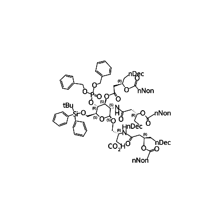 CCCCCCCCCCC[C@H](CC(=O)N[C@@H](CO[C@H]1O[C@@H](CO[Si](c2ccccc2)(c2ccccc2)C(C)(C)C)[C@H](OP(=O)(OCc2ccccc2)OCc2ccccc2)[C@@H](OC(=O)C[C@@H](CCCCCCCCCCC)OC(=O)CCCCCCCCC)[C@@H]1NC(=O)C[C@@H](CCCCCCCCCCC)OC(=O)CCCCCCCCC)CC(=O)O)OC(=O)CCCCCCCCC